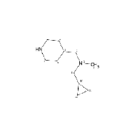 CN(CC1CCNCC1)CC1CC1